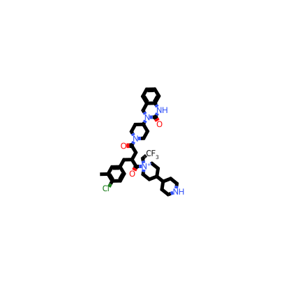 Cc1cc(CC(CC(=O)N2CCC(N3Cc4ccccc4NC3=O)CC2)C(=O)[N+]2(CC(F)(F)F)CCC(C3CCNCC3)CC2)ccc1Cl